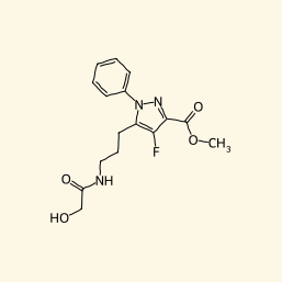 COC(=O)c1nn(-c2ccccc2)c(CCCNC(=O)CO)c1F